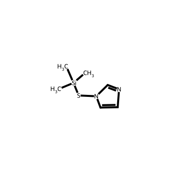 C[Si](C)(C)Sn1ccnc1